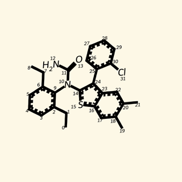 CCc1cccc(CC)c1N(C(N)=O)c1sc2cc(C)c(C)cc2c1-c1ccccc1Cl